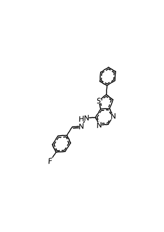 Fc1ccc(C=NNc2ncnc3cc(-c4ccccc4)sc23)cc1